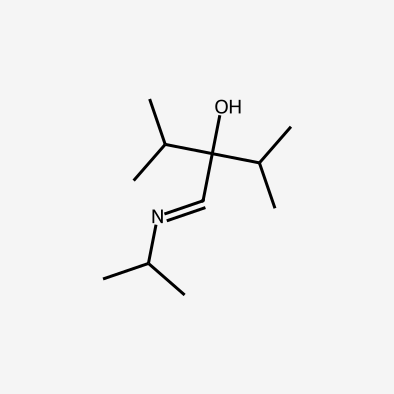 CC(C)N=CC(O)(C(C)C)C(C)C